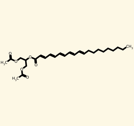 CCCCCCCCCC=CC=CC=CC=CC=CC(=O)OC(COC(C)=O)COC(C)=O